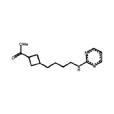 COC(=O)C1CC(CCCCNc2ncccn2)C1